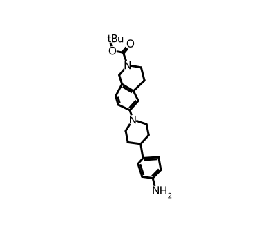 CC(C)(C)OC(=O)N1CCc2cc(N3CCC(c4ccc(N)cc4)CC3)ccc2C1